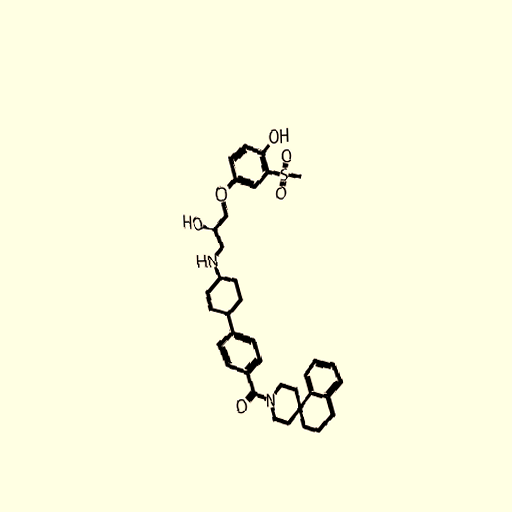 CS(=O)(=O)c1cc(OC[C@H](O)CNC2CCC(c3ccc(C(=O)N4CCC5(CCCc6ccccc65)CC4)cc3)CC2)ccc1O